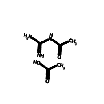 CC(=O)NC(=N)N.CC(=O)O